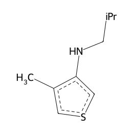 Cc1cscc1NCC(C)C